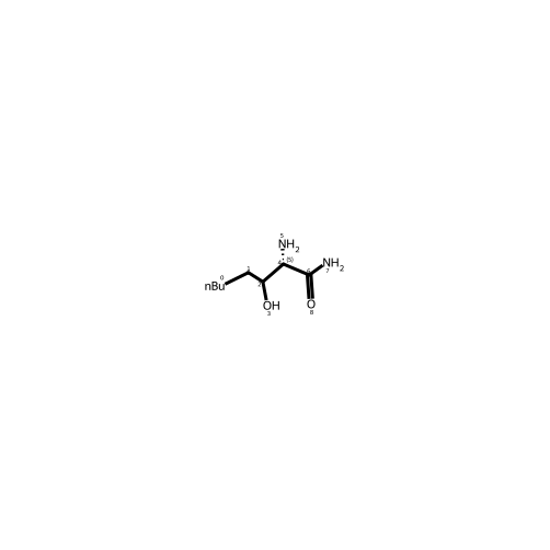 CCCCCC(O)[C@H](N)C(N)=O